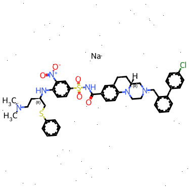 CN(C)CC[C@H](CSc1ccccc1)Nc1ccc(S(=O)(=O)NC(=O)c2ccc3c(c2)CC[C@@H]2CN(Cc4ccccc4-c4ccc(Cl)cc4)CCN32)cc1[N+](=O)[O-].[Na]